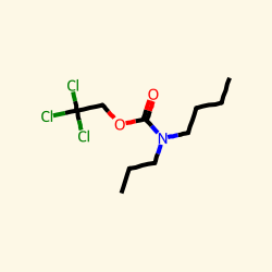 CCCCN(CCC)C(=O)OCC(Cl)(Cl)Cl